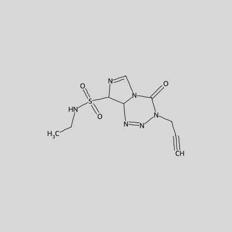 C#CCN1N=NC2C(S(=O)(=O)NCC)N=CN2C1=O